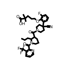 CCCC1C(C(=O)N2CCC(C#N)(c3cccc(F)c3OCCCC(C)(C)C(=O)O)CC2)CCCN1C(=O)c1ncccc1C(F)(F)F